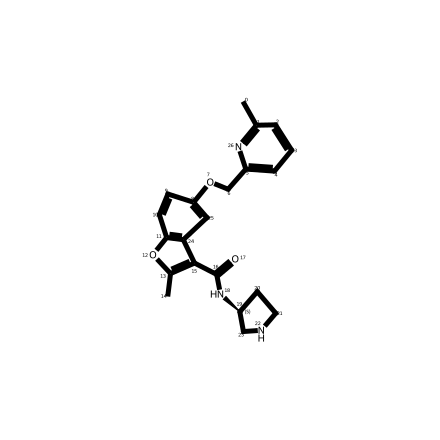 Cc1cccc(COc2ccc3oc(C)c(C(=O)N[C@H]4CCNC4)c3c2)n1